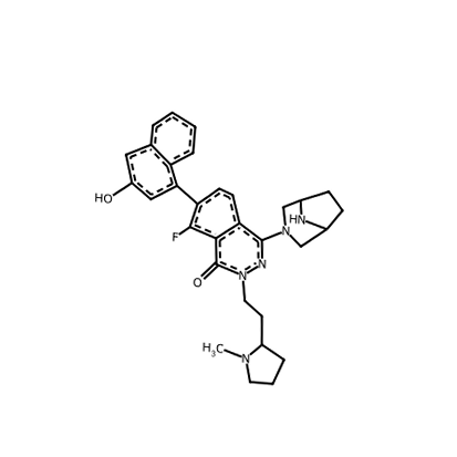 CN1CCCC1CCn1nc(N2CC3CCC(C2)N3)c2ccc(-c3cc(O)cc4ccccc34)c(F)c2c1=O